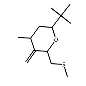 C=C1C(C)CC(C(C)(C)C)OC1CSC